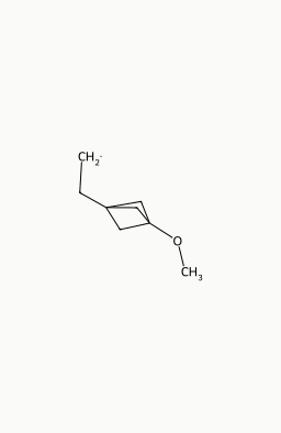 [CH2]CC12CC(OC)(C1)C2